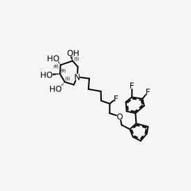 O[C@H]1[C@H](O)[C@@H](O)CN(CCCCC(F)COCc2ccccc2-c2ccc(F)c(F)c2)C[C@@H]1O